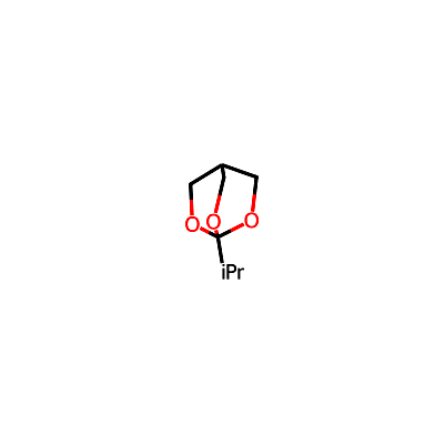 CC(C)C12OCC(CO1)CO2